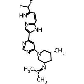 C[C@@H]1C[C@H](N=S(C)C)CN(c2cc(-c3cnc(/C=C\C(=N)C(F)F)[nH]3)ncn2)C1